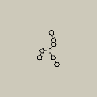 c1ccc(-c2ccc(-c3nc(-c4ccc5cc6oc7ccccc7c6cc5c4)nc(-c4cccc5c4sc4ccccc45)n3)cc2)cc1